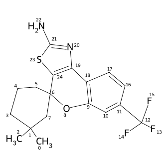 CC1(C)CCCC2(C1)Oc1cc(C(F)(F)F)ccc1-c1nc(N)sc12